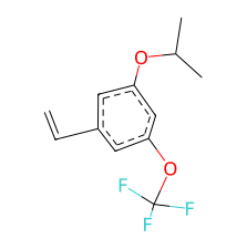 C=Cc1cc(OC(C)C)cc(OC(F)(F)F)c1